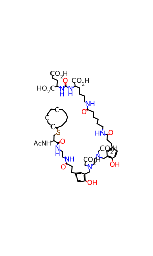 CC(=O)NC(CSC1CCCCCCCCCCC1)C(=O)NCCNC(=O)CCc1ccc(O)c(CN(CCN(CC(=O)O)Cc2cc(CCC(=O)NCCCCCC(=O)NCCCCC(NC(=O)NC(CCC(=O)O)C(=O)O)C(=O)O)ccc2O)CC(=O)O)c1